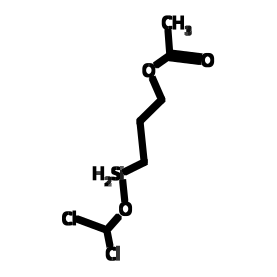 CC(=O)OCCC[SiH2]OC(Cl)Cl